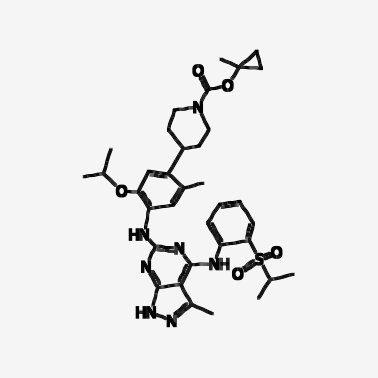 Cc1cc(Nc2nc(Nc3ccccc3S(=O)(=O)C(C)C)c3c(C)n[nH]c3n2)c(OC(C)C)cc1C1CCN(C(=O)OC2(C)CC2)CC1